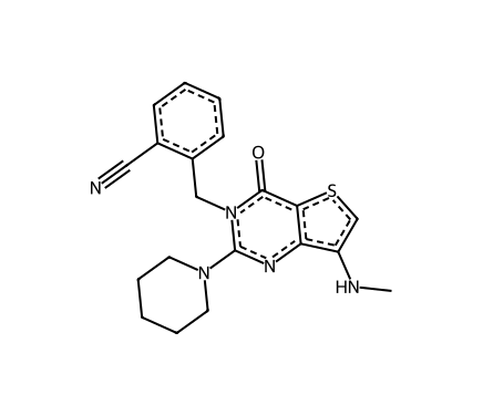 CNc1csc2c(=O)n(Cc3ccccc3C#N)c(N3CCCCC3)nc12